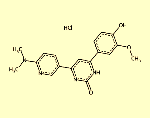 COc1cc(-c2cc(-c3ccc(N(C)C)nc3)nc(=O)[nH]2)ccc1O.Cl